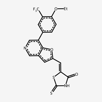 CCOc1ccc(-c2cncc3cc(/C=C4\SC(=S)NC4=O)oc23)cc1C(F)(F)F